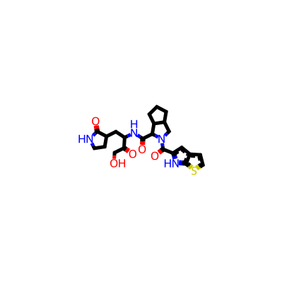 O=C1NCCC1CC(NC(=O)C1C2CCCC2CN1C(=O)c1cc2ccsc2[nH]1)C(=O)CO